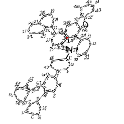 c1ccc(-c2ccc(-c3ccc(N(c4ccc(-c5cccc6ccccc56)cc4)c4ccccc4-c4cccc5c4oc4ccccc45)cc3)cc2-c2ccccc2)cc1